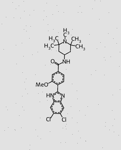 COc1cc(C(=O)NC2CC(C)(C)N(C)C(C)(C)C2)ccc1-c1nc2cc(Cl)c(Cl)cc2[nH]1